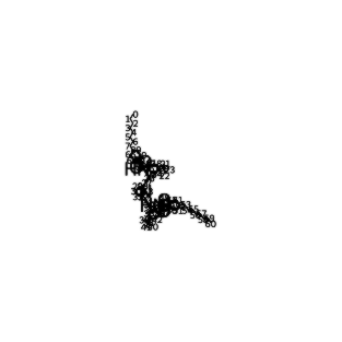 CCCCCCCCc1ccc(S(=O)(=O)Nc2ccc(C(C)(C)C)cc2C#Cc2cccc(C#Cc3cc(C(C)(C)C)ccc3NS(=O)(=O)c3ccc(CCCCCCCC)cc3)n2)cc1